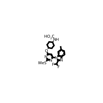 CSc1nc(O[C@H]2CC[C@H](NC(=O)O)CC2)cc(-n2c(C(F)F)nc3ccc(C)cc32)n1